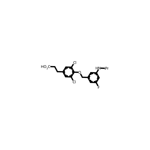 CC(C)Nc1cc(F)cc(COc2c(Cl)cc(CCC(=O)O)cc2Cl)c1